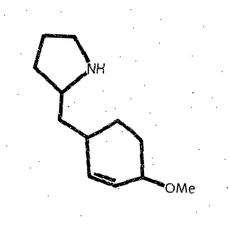 COC1C=CC(CC2CCCN2)CC1